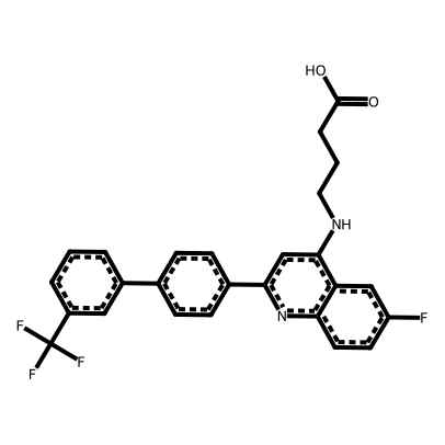 O=C(O)CCCNc1cc(-c2ccc(-c3cccc(C(F)(F)F)c3)cc2)nc2ccc(F)cc12